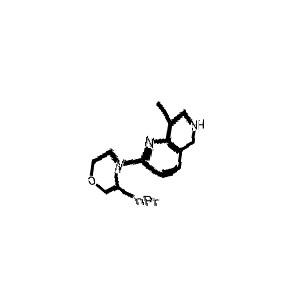 CCCC1COCCN1c1ccc2c(n1)C(C)CNC2